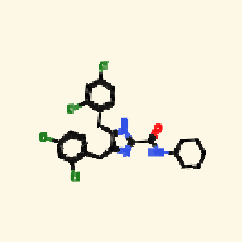 O=C(NC1CCCCC1)c1nc(Cc2ccc(Cl)cc2Cl)c(Cc2ccc(Cl)cc2Cl)[nH]1